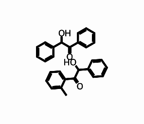 Cc1ccccc1C(=O)C(O)c1ccccc1.O=C(c1ccccc1)C(O)c1ccccc1